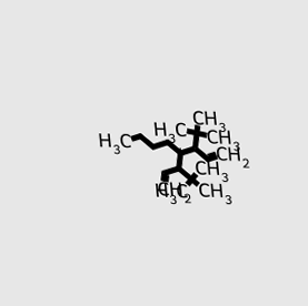 C=CC([C](CCCC)C(C=C)C(C)(C)C)C(C)(C)C